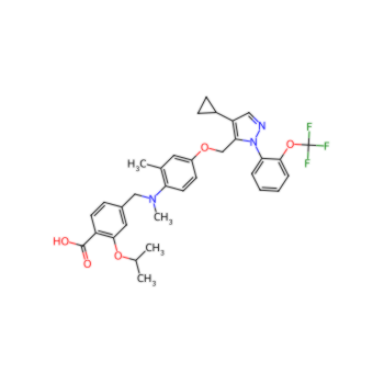 Cc1cc(OCc2c(C3CC3)cnn2-c2ccccc2OC(F)(F)F)ccc1N(C)Cc1ccc(C(=O)O)c(OC(C)C)c1